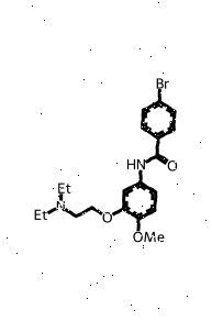 CCN(CC)CCOc1cc(NC(=O)c2ccc(Br)cc2)ccc1OC